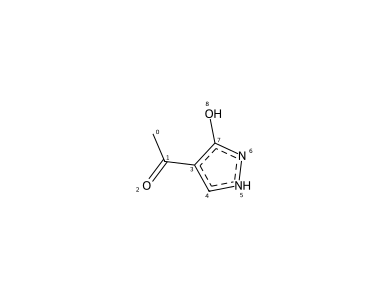 CC(=O)c1c[nH]nc1O